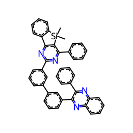 C[Si]1(C)c2ccccc2-c2nc(-c3cccc(-c4cccc(-c5nc6ccccc6nc5-c5ccccc5)c4)c3)nc(-c3ccccc3)c21